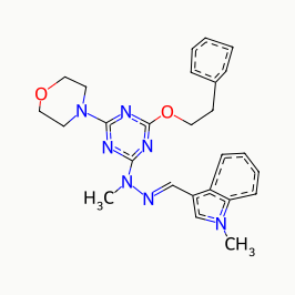 CN(N=Cc1cn(C)c2ccccc12)c1nc(OCCc2ccccc2)nc(N2CCOCC2)n1